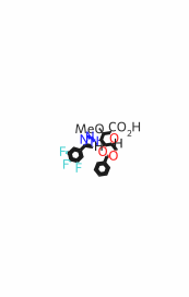 CO[C@@H]1[C@@H](n2cc(-c3cc(F)c(F)c(F)c3)nn2)[C@H]2OC(c3ccccc3)OC[C@H]2O[C@H]1C(=O)O